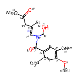 CCCCOc1cc([N+](=O)[O-])c(C(=O)N(/C=C(\CC)CC(=O)OC)CO)cc1OC